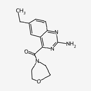 CCc1ccc2nc(N)nc(C(=O)N3CCOCC3)c2c1